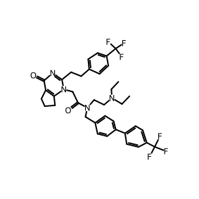 CCN(CC)CCN(Cc1ccc(-c2ccc(C(F)(F)F)cc2)cc1)C(=O)Cn1c(CCc2ccc(C(F)(F)F)cc2)nc(=O)c2c1CCC2